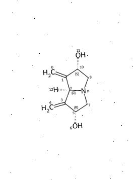 C=C1[C@@H]2C(=C)[C@@H](O)CN2C[C@H]1O